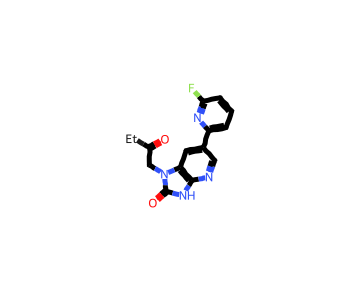 CCC(=O)Cn1c(=O)[nH]c2ncc(-c3cccc(F)n3)cc21